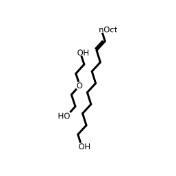 CCCCCCCCC=CCCCCCCCCO.OCCOCCO